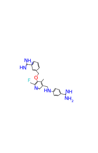 Cc1c(CNc2ccc(C(=N)N)cc2)cnc(CF)c1OCc1cccc(C(=N)N)c1